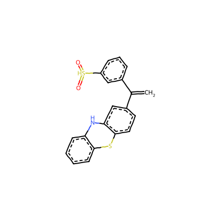 C=C(c1cccc([SH](=O)=O)c1)c1ccc2c(c1)Nc1ccccc1S2